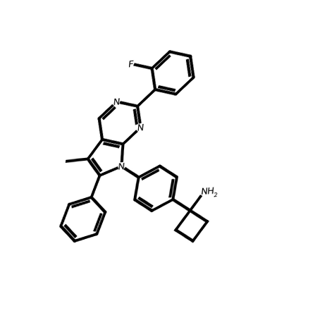 Cc1c(-c2ccccc2)n(-c2ccc(C3(N)CCC3)cc2)c2nc(-c3ccccc3F)ncc12